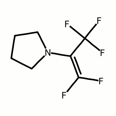 FC(F)=C(N1CCCC1)C(F)(F)F